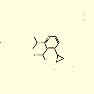 CC(C)c1nccc(C2CC2)c1C(F)F